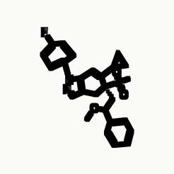 COC(C[C@]1(S(C)(=O)=O)Cc2cnn(-c3ccc(F)cc3)c2C=C1C1CC1)c1ccccc1